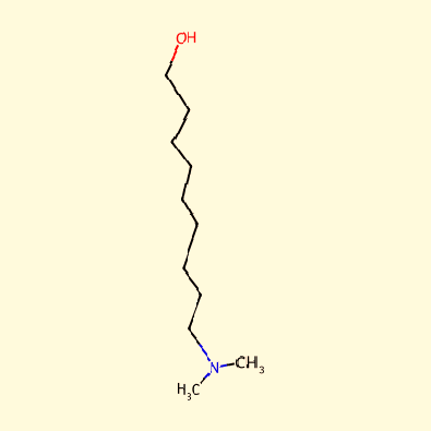 CN(C)CCCCCCCCCO